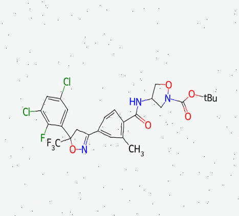 Cc1cc(C2=NOC(c3cc(Cl)cc(Cl)c3F)(C(F)(F)F)C2)ccc1C(=O)NC1CON(C(=O)OC(C)(C)C)C1